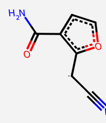 N#C[CH]c1occc1C(N)=O